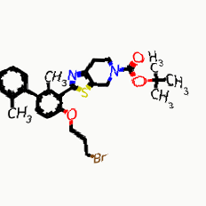 Cc1ccccc1-c1ccc(OCCCBr)c(-c2nc3c(s2)CN(C(=O)OC(C)(C)C)CC3)c1C